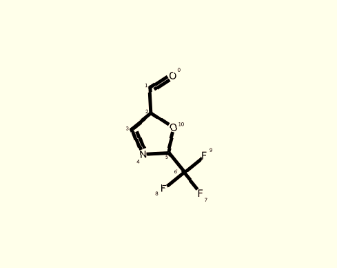 O=CC1C=NC(C(F)(F)F)O1